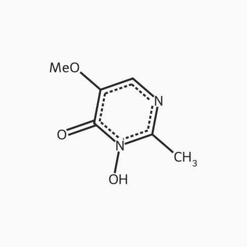 COc1cnc(C)n(O)c1=O